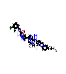 Cc1cn2c(-c3cnn(CC(=O)NCc4cccc(F)c4F)c3)cnc2c(Nc2cc(CN3CCCC(C)C3)ns2)n1